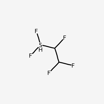 FC(F)C(F)[SH](F)F